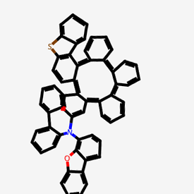 c1ccc(-c2ccccc2N(c2ccc3c(c2)c2ccccc2c2ccccc2c2ccccc2c2c3ccc3sc4ccccc4c32)c2cccc3c2oc2ccccc23)cc1